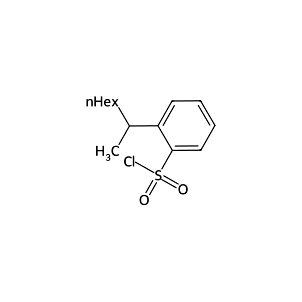 CCCCCCC(C)c1ccccc1S(=O)(=O)Cl